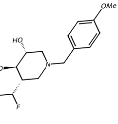 COc1ccc(CN2C[C@@H](O)[C@H](O)[C@@H](C(F)F)C2)cc1